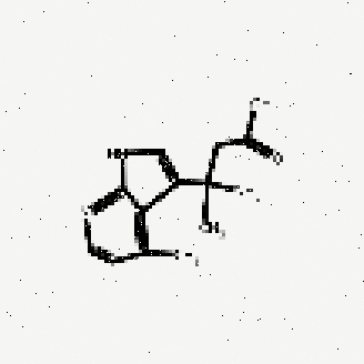 Cc1ccnc2[nH]cc([C@@](C)(N)CC(=O)O)c12